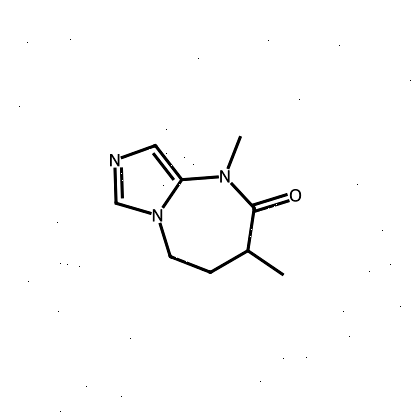 CC1CCn2cncc2N(C)C1=O